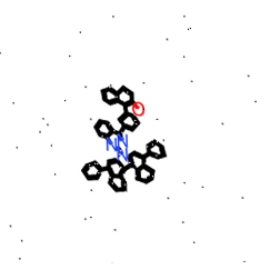 c1ccc(-c2cc3c(c4ccccc24)c2c4ccccc4c(-c4ccccc4)cc2n3-c2nc(-c3ccc4oc5ccc6ccccc6c5c4c3)c3ccccc3n2)cc1